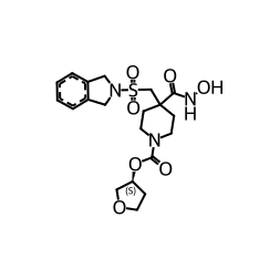 O=C(O[C@H]1CCOC1)N1CCC(CS(=O)(=O)N2Cc3ccccc3C2)(C(=O)NO)CC1